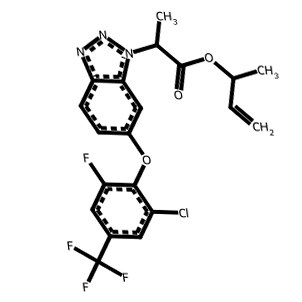 C=CC(C)OC(=O)C(C)n1nnc2ccc(Oc3c(F)cc(C(F)(F)F)cc3Cl)cc21